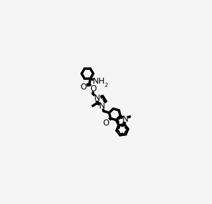 Cc1n(CC2CCc3c(c4ccccc4n3C)C2=O)cc[n+]1COC(=O)C1(N)CCCCC1